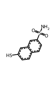 NS(=O)(=O)c1ccc2ccc(S)cc2c1